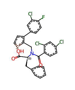 O=C(O)[C@H](Cc1ccccc1)N(Cc1sccc1-c1ccc(F)c(Cl)c1)C(=O)c1ccc(Cl)cc1Cl